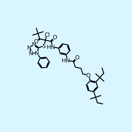 CCC(C)(C)c1ccc(OCCCC(=O)Nc2cccc(NC(=O)C(Cl)(Sc3nnnn3-c3ccccc3)C(=O)C(C)(C)C)c2)c(C(C)(C)CC)c1